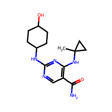 CC1(Nc2nc(NC3CCC(O)CC3)ncc2C(N)=O)CC1